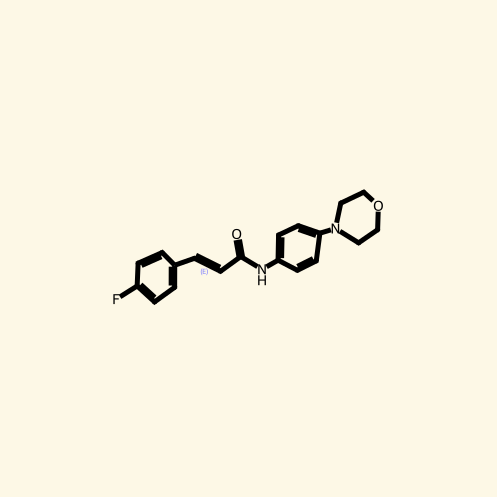 O=C(/C=C/c1ccc(F)cc1)Nc1ccc(N2CCOCC2)cc1